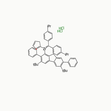 CC(C)c1ccc([C](c2ccc(C(C)C)cc2)=[Zr]([C]2=CC=CC2)[c]2c3c(cc(C(C)(C)C)c2-c2ccccc2)-c2cc(C(C)(C)C)c(-c4ccccc4)cc2C3)cc1.Cl.Cl